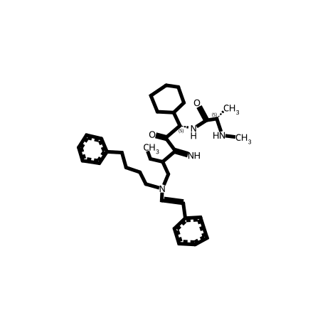 CCC(CN(C=Cc1ccccc1)CCCCc1ccccc1)C(=N)C(=O)[C@@H](NC(=O)[C@H](C)NC)C1CCCCC1